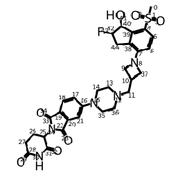 CS(=O)(=O)c1ccc(N2CC(CN3CCN(c4ccc5c(c4)C(=O)N(C4CCC(=O)NC4=O)C5=O)CC3)C2)c2c1[C@H](O)[C@H](F)C2